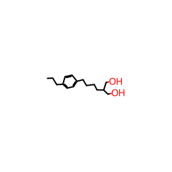 CCCc1ccc(CCCCC(CO)CO)cc1